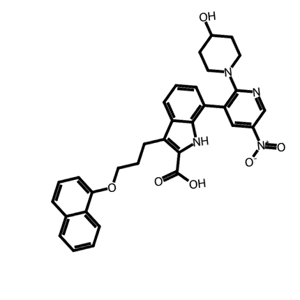 O=C(O)c1[nH]c2c(-c3cc([N+](=O)[O-])cnc3N3CCC(O)CC3)cccc2c1CCCOc1cccc2ccccc12